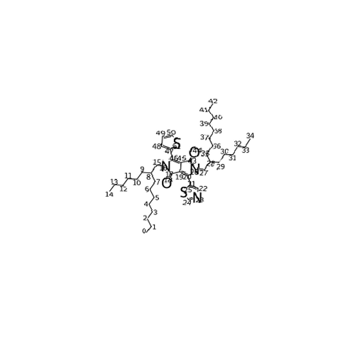 CCCCCCCCC(CCCCCC)CN1C(=O)C2=C(c3cncs3)N(CC(CCCCCC)CCCCCCCC)C(=O)C2=C1c1cccs1